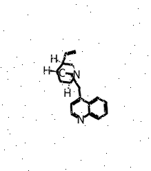 C=C[C@H]1C[N@]2CC[C@H]1C[C@@H]2Cc1ccnc2ccccc12